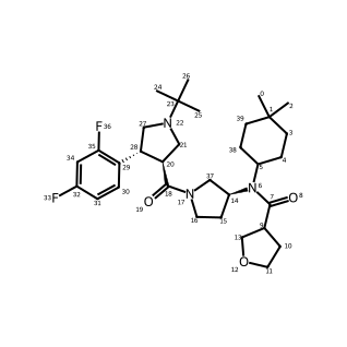 CC1(C)CCC(N(C(=O)C2CCOC2)[C@H]2CCN(C(=O)[C@@H]3CN(C(C)(C)C)C[C@H]3c3ccc(F)cc3F)C2)CC1